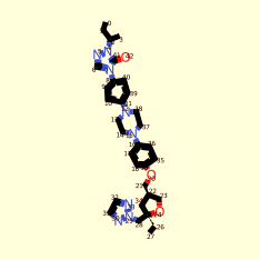 CCC(C)n1ncn(-c2ccc(N3CCN(c4ccc(OC[C@H]5CO[C@@](CC)(Cn6nccn6)C5)cc4)CC3)cc2)c1=O